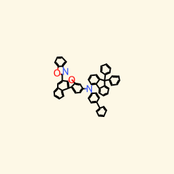 c1ccc(-c2ccc(N(c3ccc4c(c3)oc3c(-c5nc6ccccc6o5)cc5ccccc5c34)c3cccc4c3-c3ccccc3C4(c3ccccc3)c3ccccc3)cc2)cc1